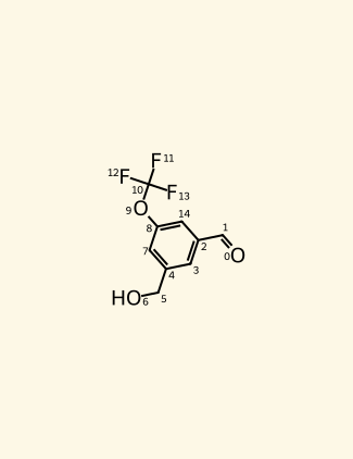 O=Cc1cc(CO)cc(OC(F)(F)F)c1